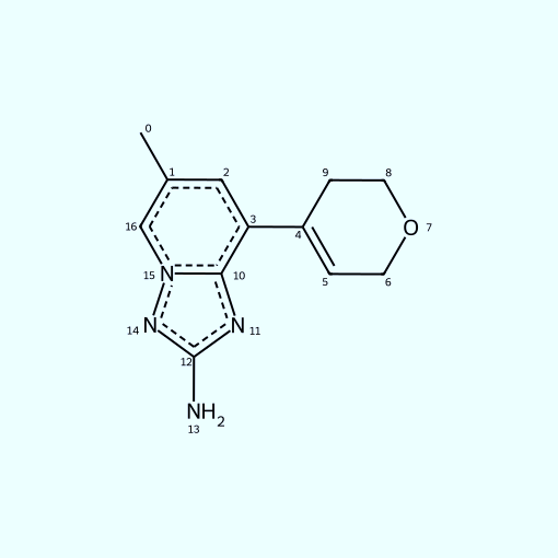 Cc1cc(C2=CCOCC2)c2nc(N)nn2c1